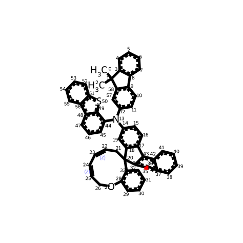 CC1(C)c2ccccc2-c2ccc(N(c3ccc4c(c3)C3(C/C=C\C=C/COc5ccccc53)c3ccc5ccccc5c3-4)c3cccc4c3sc3ccccc34)cc21